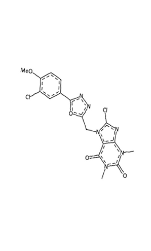 COc1ccc(-c2nnc(Cn3c(Cl)nc4c3c(=O)n(C)c(=O)n4C)o2)cc1Cl